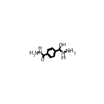 NNC(=O)c1ccc(C(O)NN)cc1